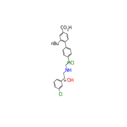 CCCCc1cc(C(=O)O)ccc1-c1ccc(CCNC[C@H](O)c2cccc(Cl)c2)cc1.Cl